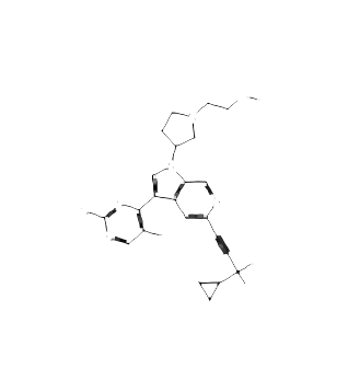 COCCN1CCC(n2cc(-c3nc(N)ncc3F)c3cc(C#CC(C)(O)C4CC4)ncc32)C1